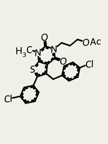 CC(=O)OCCCn1c(=O)c2c(Cc3ccc(Cl)cc3)c(-c3cccc(Cl)c3)sc2n(C)c1=O